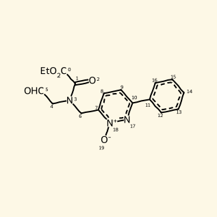 CCOC(=O)C(=O)N(CC=O)Cc1ccc(-c2ccccc2)n[n+]1[O-]